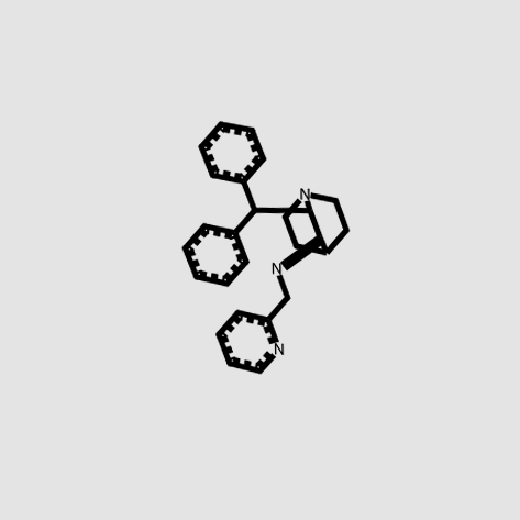 c1ccc(C(c2ccccc2)C2C(=NCc3ccccn3)C3CCN2CC3)cc1